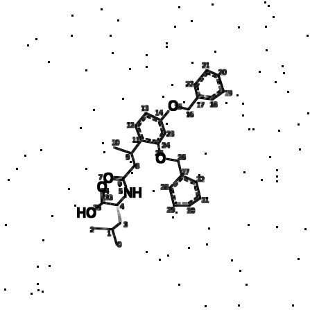 CC(C)C[C@@H](NC(=O)CC(C)c1ccc(OCc2ccccc2)cc1OCc1ccccc1)C(=O)O